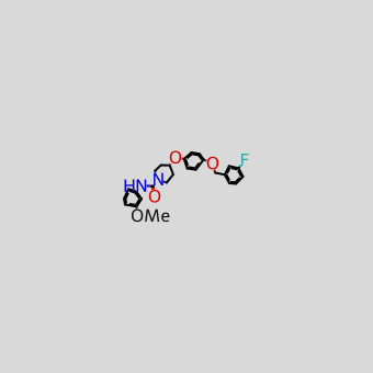 COc1cccc(NC(=O)N2CCC(Oc3ccc(OCc4cccc(F)c4)cc3)CC2)c1